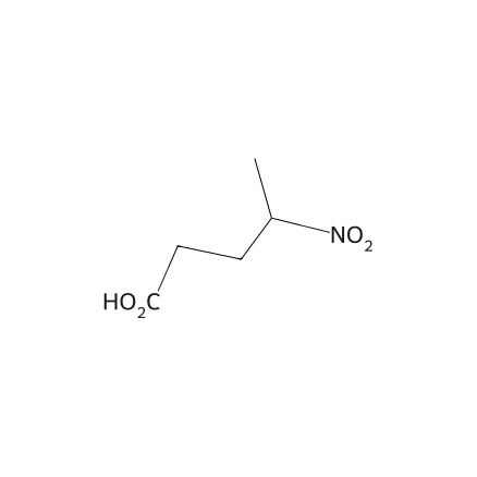 CC(CCC(=O)O)[N+](=O)[O-]